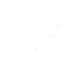 Cc1cc(N[C@H]2CC[C@@H](NC(=O)c3cccc(F)c3F)CC2)nc2ccccc12.Cl